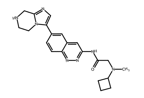 CN(CC(=O)Nc1cc2cc(-c3cnc4n3CCNC4)ccc2nn1)C1CCC1